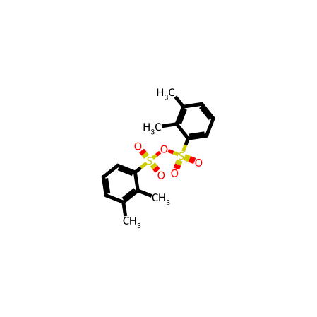 Cc1cccc(S(=O)(=O)OS(=O)(=O)c2cccc(C)c2C)c1C